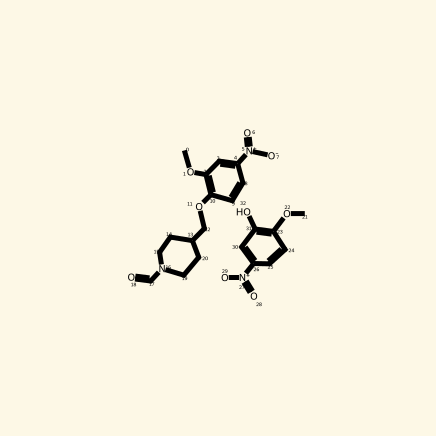 COc1cc([N+](=O)[O-])ccc1OCC1CCN(C=O)CC1.COc1ccc([N+](=O)[O-])cc1O